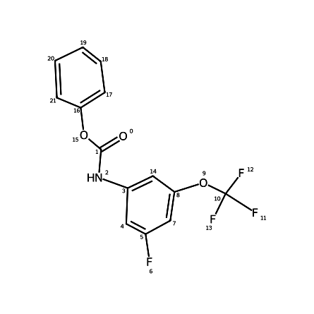 O=C(Nc1cc(F)cc(OC(F)(F)F)c1)Oc1ccccc1